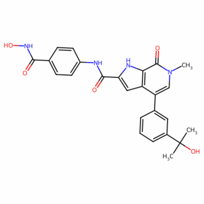 Cn1cc(-c2cccc(C(C)(C)O)c2)c2cc(C(=O)Nc3ccc(C(=O)NO)cc3)[nH]c2c1=O